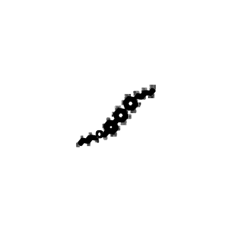 CC/C=C/COCc1ccc(C2CCC([C@H]3CC[C@H](/C=C/CCC)CC3)CC2)cc1